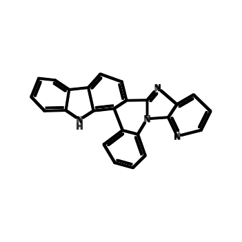 c1cnc2c(c1)nc1c3ccc4c5ccccc5[nH]c4c3c3ccccc3n21